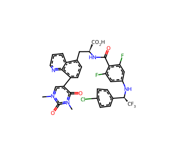 Cn1cc(-c2ccc(C[C@H](NC(=O)c3c(F)cc(N[C@H](c4ccc(Cl)cc4)C(F)(F)F)cc3F)C(=O)O)c3cccnc23)c(=O)n(C)c1=O